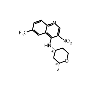 C[C@@H]1C[C@H](Nc2c([N+](=O)[O-])cnc3ccc(C(F)(F)F)cc23)CCO1